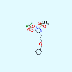 CS(=O)(=O)c1nc(CCCOCc2ccccc2)cc(OS(=O)(=O)C(F)(F)F)n1